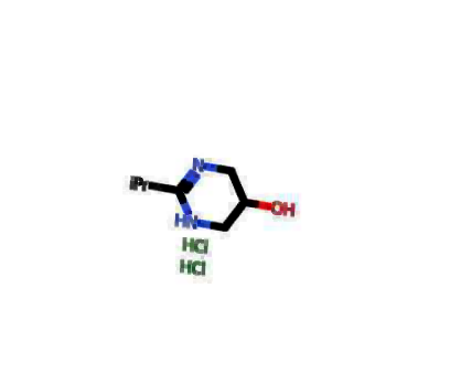 CC(C)C1=NCC(O)CN1.Cl.Cl